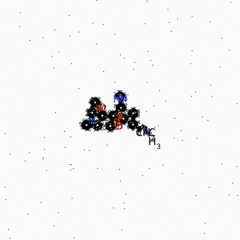 C=C(/C=C\C=C/C)c1cccc(-c2ccccc2-c2ccc(P(=O)(c3ccccc3)c3cc(-c4cccc(P(=O)(c5ccccc5)c5cccc(-n6c7ccccc7c7ccccc76)c5)c4)cc4c3sc3ccc(-c5ncccn5)cc34)cc2)c1